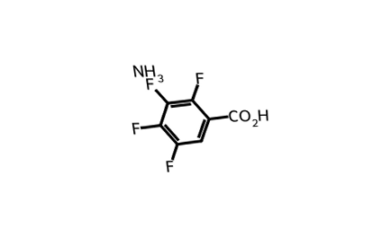 N.O=C(O)c1cc(F)c(F)c(F)c1F